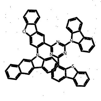 c1ccc2cc3c(cc2c1)c1ccccc1n3-c1cc2oc3ccccc3c2cc1-c1nc(-c2cccc3c2sc2ccccc23)nc(-n2c3ccccc3c3ccccc32)n1